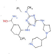 CC(C)CN(C)c1nc(NC2CCN(CC3CCNCC3)C2)nc(NC2CC(C(N)O)CCC2C)n1